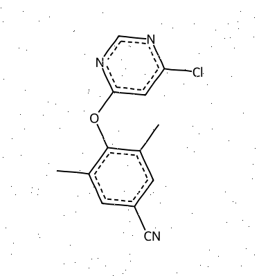 Cc1cc(C#N)cc(C)c1Oc1cc(Cl)ncn1